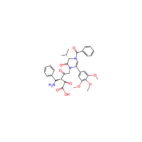 COc1cc(C2=CN(C(=O)c3ccccc3)[C@@H](C(C)C)C(=O)N2CC(=O)[C@@H](C(=O)C(=O)O)C(N)c2ccccc2)cc(OC)c1OC